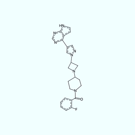 O=C(c1ccccc1F)N1CCC(N2CC(n3cc(-c4ncnc5[nH]ccc45)cn3)C2)CC1